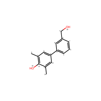 Cc1cc(-c2cccc(CO)c2)cc(C)c1O